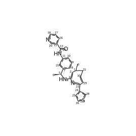 CC1\C=C(N[C@@H](C)c2cccc(NC(=O)c3cccnc3)c2)/N=C(c2ccsc2)\C=C\C1